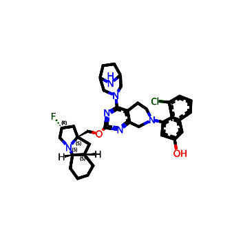 Oc1cc(N2CCc3c(nc(OC[C@]45C[C@@H](F)CN4[C@H]4CCCC[C@H]4C5)nc3N3CC4CCC(C3)N4)C2)c2c(Cl)cccc2c1